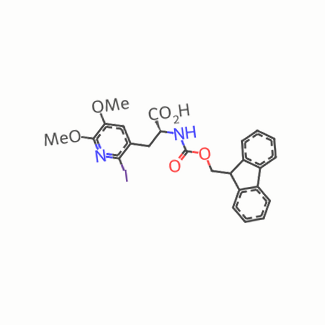 COc1cc(C[C@H](NC(=O)OCC2c3ccccc3-c3ccccc32)C(=O)O)c(I)nc1OC